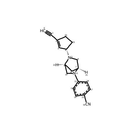 C#CC1=C[C@@H](N2C[C@@H]3C[C@H]2CN3c2ccc(C#N)cc2)CC1